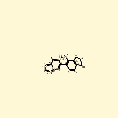 Nc1c(-c2ccc3ncnn3c2)ccc2c1CCC2